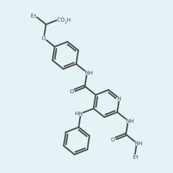 CCNC(=O)Nc1cc(Nc2ccccc2)c(C(=O)Nc2ccc(OC(CC)C(=O)O)cc2)cn1